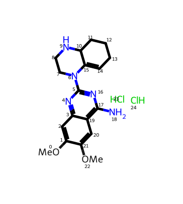 COc1cc2nc(N3CCNC4CCCC=C43)nc(N)c2cc1OC.Cl.Cl